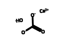 O=C([O-])[O-].[Ca+2].[OH]